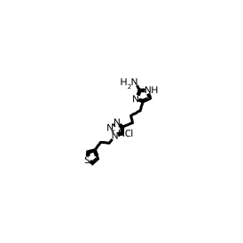 Cl.Nc1nc(CCCc2cn(CCc3ccsc3)nn2)c[nH]1